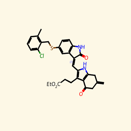 C=C1CC(=O)c2c([nH]c(/C=C3\C(=O)Nc4ccc(SCc5c(C)cccc5Cl)cc43)c2CCC(=O)OCC)C1